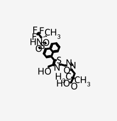 CC[C@H](NS(=O)(=O)c1ccc(-c2sc(-c3nnc(CC(C)(C)C(=O)O)o3)nc2CO)c2ccccc12)C(F)(F)F